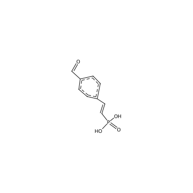 O=Cc1ccc(C=CP(=O)(O)O)cc1